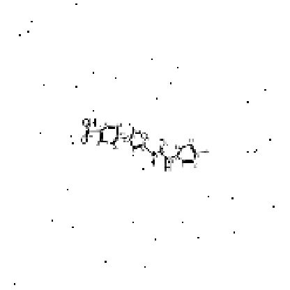 Cc1ccc(NC(=O)Nc2c[n+](-c3ccc(C(=O)O)cc3)no2)cc1